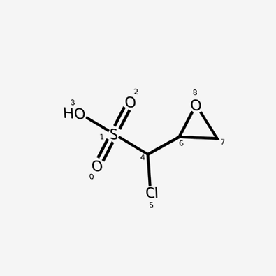 O=S(=O)(O)C(Cl)C1CO1